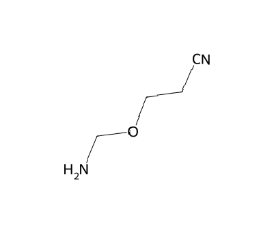 N#CCCOCN